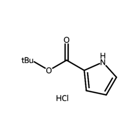 CC(C)(C)OC(=O)c1ccc[nH]1.Cl